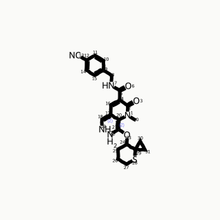 Cn1c(=O)c(C(=O)NCc2ccc(C#N)cc2)cc(=C/N)/c1=C(\N)OC1CCCSC12CC2